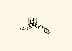 CCCCOc1nc(N)c2[nH]cc(Cc3ccc(CN4CCOCC4)cc3)c2n1